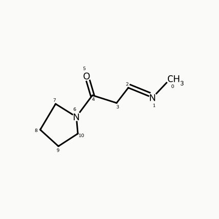 C/N=C/CC(=O)N1CCCC1